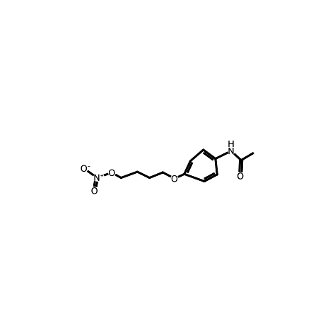 CC(=O)Nc1ccc(OCCCCO[N+](=O)[O-])cc1